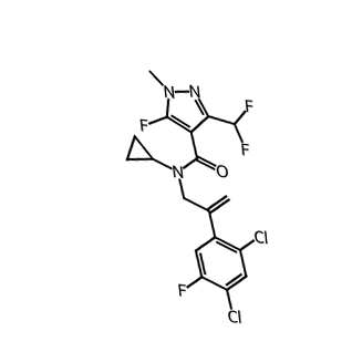 C=C(CN(C(=O)c1c(C(F)F)nn(C)c1F)C1CC1)c1cc(F)c(Cl)cc1Cl